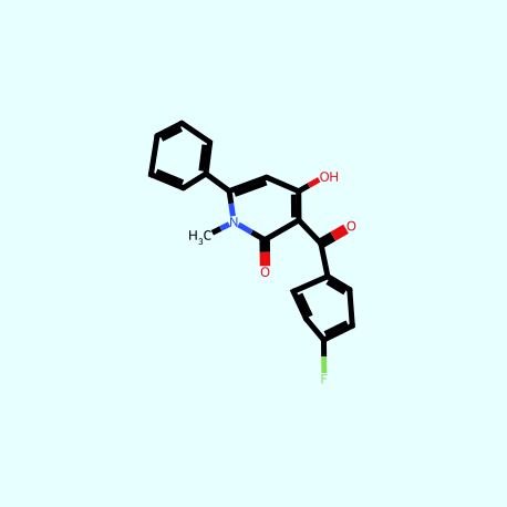 Cn1c(-c2ccccc2)cc(O)c(C(=O)c2ccc(F)cc2)c1=O